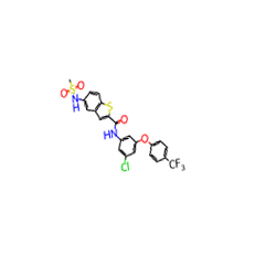 CS(=O)(=O)Nc1ccc2sc(C(=O)Nc3cc(Cl)cc(Oc4ccc(C(F)(F)F)cc4)c3)cc2c1